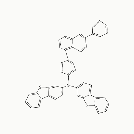 c1ccc(-c2ccc3c(-c4ccc(N(c5ccc6c(c5)sc5ccccc56)c5ccc6c(c5)sc5ccccc56)cc4)cccc3c2)cc1